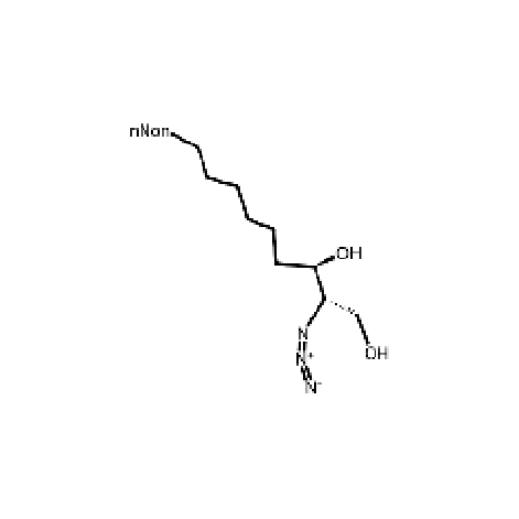 CCCCCCCCCCCCCCC[C@@H](O)[C@H](CO)N=[N+]=[N-]